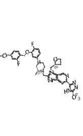 C[C@H]1CN(c2ccc(F)c(OCc3ccc(Cl)cc3F)c2)CCN1Cc1nc2cc(-c3nnc(C(F)(F)F)[nH]3)ncc2n1C[C@@H]1CCO1